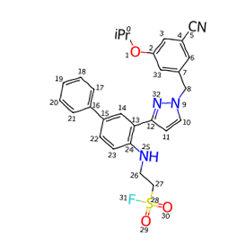 CC(C)Oc1cc(C#N)cc(Cn2ccc(-c3cc(-c4ccccc4)ccc3NCCS(=O)(=O)F)n2)c1